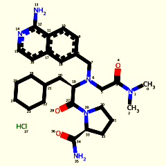 CN(C)C(=O)CN(Cc1ccc2c(N)nccc2c1)[C@H](CC1CCCCC1)C(=O)N1CCC[C@H]1C(N)=O.Cl